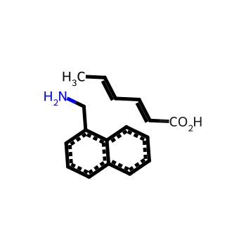 CC=CC=CC(=O)O.NCc1cccc2ccccc12